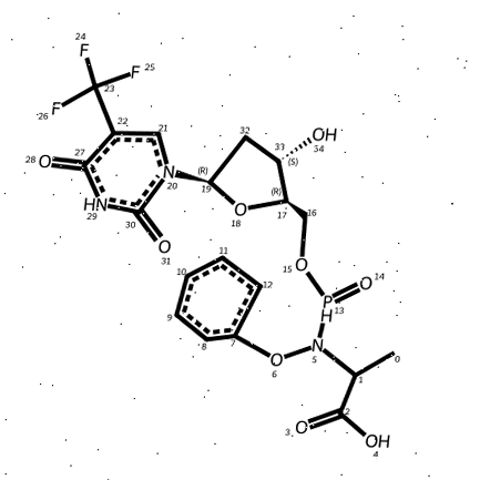 CC(C(=O)O)N(Oc1ccccc1)[PH](=O)OC[C@H]1O[C@@H](n2cc(C(F)(F)F)c(=O)[nH]c2=O)C[C@@H]1O